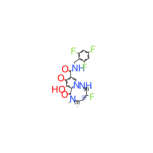 C[C@H]1Nn2cc(C(=O)NCc3c(F)cc(F)cc3F)c(=O)c(O)c2C(=O)N(C)[C@@H](C)/C=C\1F